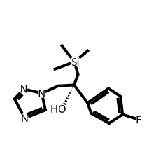 C[Si](C)(C)C[C@](O)(Cn1cncn1)c1ccc(F)cc1